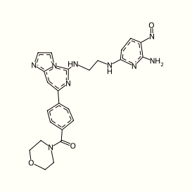 Nc1nc(NCCNc2nc(-c3ccc(C(=O)N4CCOCC4)cc3)cc3nccn23)ccc1N=O